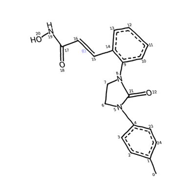 Cc1ccc(N2CCN(c3ccccc3/C=C/C(=O)NO)C2=O)cc1